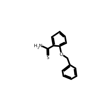 NC(=S)c1ccccc1OCc1ccccc1